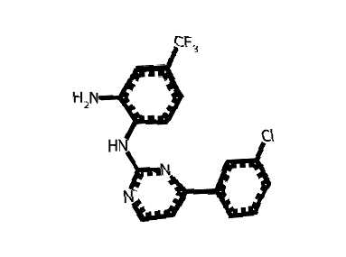 Nc1cc(C(F)(F)F)ccc1Nc1nccc(-c2cccc(Cl)c2)n1